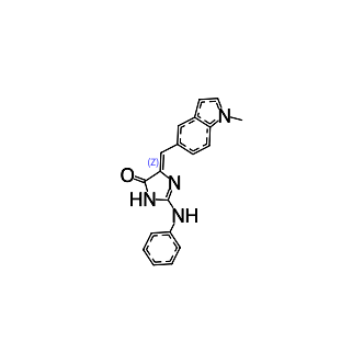 Cn1ccc2cc(/C=C3\N=C(Nc4ccccc4)NC3=O)ccc21